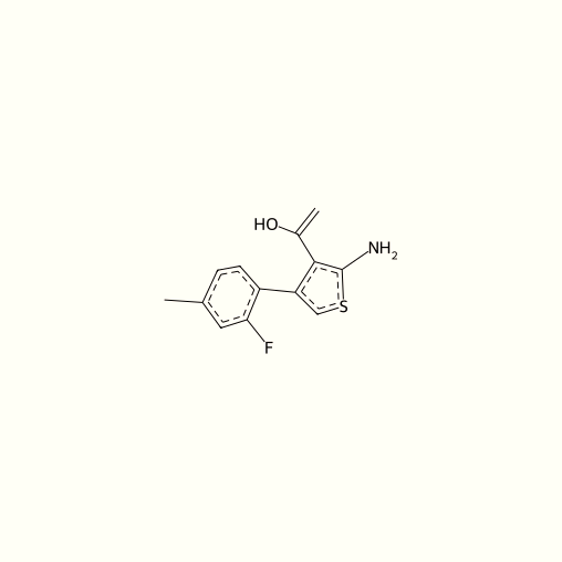 C=C(O)c1c(-c2ccc(C)cc2F)csc1N